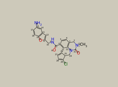 CN1Cc2ccc(C(=O)NCc3cc4cc(N)ccc4o3)cc2N(CC2C=CC=C2Cl)C1=O